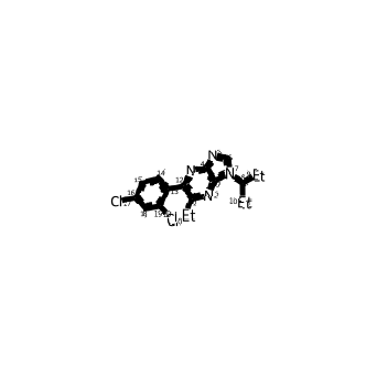 CCc1nc2c(ncn2C(CC)CC)nc1-c1ccc(Cl)cc1Cl